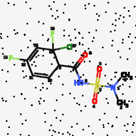 CN(C)S(=O)(=O)NC(=O)C1C=CC(F)=CC1(F)Cl